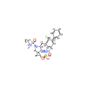 CCN(C)C(=O)N1CC2(CC2)[C@H](NS(C)(=O)=O)[C@@H]1Cc1cccc(-c2ccccc2)c1F